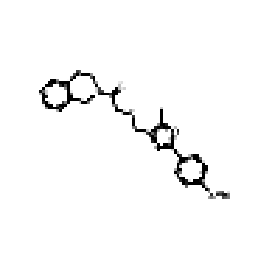 CSc1ccc(-c2nc(CSCC(=O)N3CCc4ccccc4C3)c(C)o2)cc1